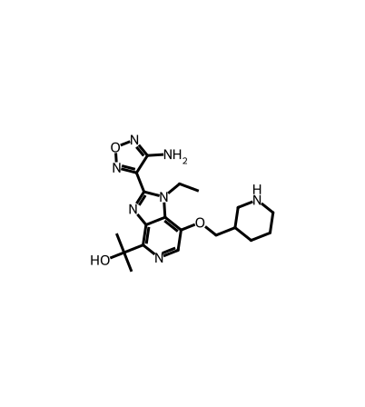 CCn1c(-c2nonc2N)nc2c(C(C)(C)O)ncc(OCC3CCCNC3)c21